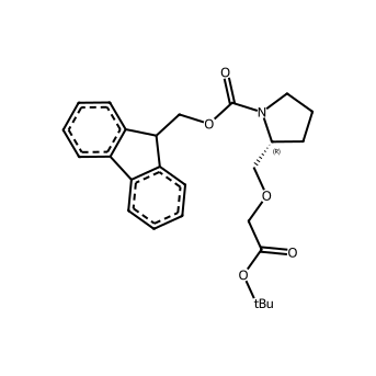 CC(C)(C)OC(=O)COC[C@H]1CCCN1C(=O)OCC1c2ccccc2-c2ccccc21